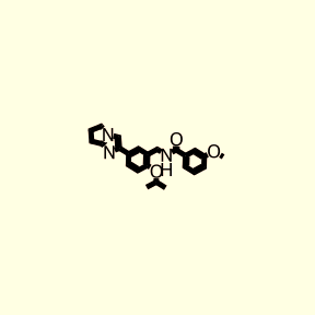 COc1cccc(C(=O)NCc2cc(-c3cn4c(n3)CCC4)ccc2OC(C)C)c1